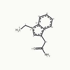 CCn1cc(CC(N)=O)c2ccccc21